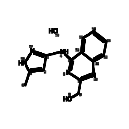 Cc1cc(Nc2nc(CO)nc3ccccc23)n[nH]1.Cl